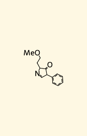 COCCC1N=CC(c2ccccc2)C1=O